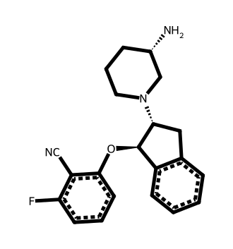 N#Cc1c(F)cccc1O[C@@H]1c2ccccc2C[C@H]1N1CCC[C@H](N)C1